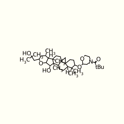 C[C@@H]1CC(CC(C)(C)O)OC2[C@H]1C1(C)CCC34CC35CCC(OC3CN(C(=O)C(C)(C)C)CCO3)C(C)(C)[C@@H]5CCC4[C@]1(C)[C@H]2O